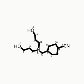 N#CC1CCC(CN(CCCO)CCCO)CC1